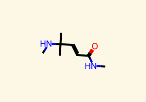 CNC(=O)/C=C/C(C)(C)NC